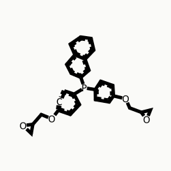 c1ccc2cc(P(c3ccc(OCC4CO4)cc3)c3ccc(OCC4CO4)cc3)ccc2c1